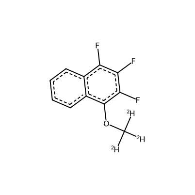 [2H]C([2H])([2H])Oc1c(F)c(F)c(F)c2ccccc12